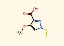 COc1cn(SF)nc1C(=O)O